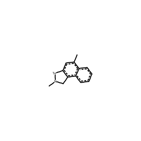 Cc1cc2c(c3ccccc13)CN(C)[Te]2